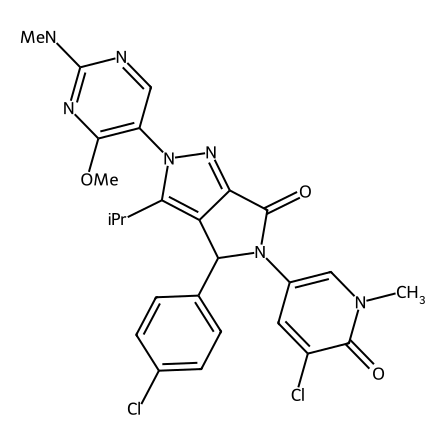 CNc1ncc(-n2nc3c(c2C(C)C)C(c2ccc(Cl)cc2)N(c2cc(Cl)c(=O)n(C)c2)C3=O)c(OC)n1